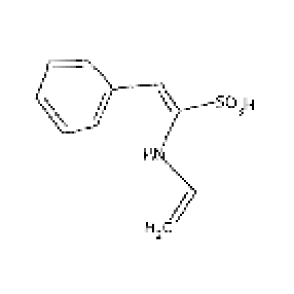 C=CNC(=Cc1ccccc1)S(=O)(=O)O